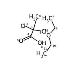 CC(Cl)(Cl)C(=O)O.CCOCC